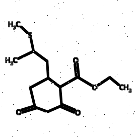 CCOC(=O)C1C(=O)CC(=O)CC1CC(C)SC